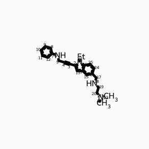 CCn1c(C#CCNc2ccccc2)cc2cc(CNCCN(C)C)ccc21